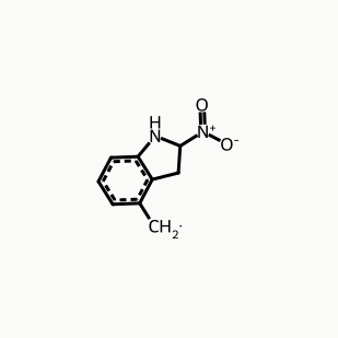 [CH2]c1cccc2c1CC([N+](=O)[O-])N2